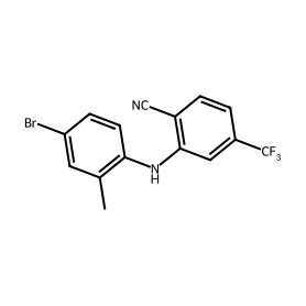 Cc1cc(Br)ccc1Nc1cc(C(F)(F)F)ccc1C#N